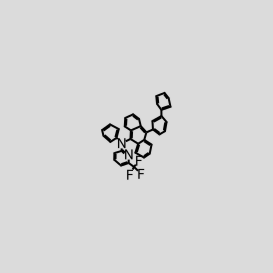 FC(F)(F)c1cccc(N(c2ccccc2)c2c3ccccc3c(-c3cccc(-c4ccccc4)c3)c3ccccc23)n1